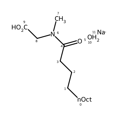 CCCCCCCCCCCC(=O)N(C)CC(=O)O.O.[Na]